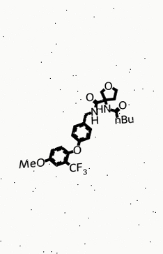 CCCCC(=O)NC1(C(=O)NCc2ccc(Oc3ccc(OC)cc3C(F)(F)F)cc2)CCOC1